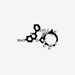 CCOC(=O)[C@@]12C[C@H]1/C=C\CCCCNC(=O)N1C[C@H](Oc3cc(-c4ccccc4)nc4cc(OC)ccc34)C[C@H]1C(=O)N2